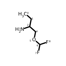 CCC(N)COC(F)F